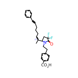 C/C(=C/CCCC#Cc1ccccc1)C1CC(F)(F)C(=O)N1CCc1ccc(C(=O)O)cc1